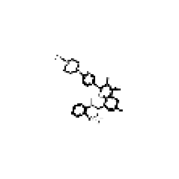 CC(=O)N1CCN(c2ccc(-c3oc4c([C@@H](C)Nc5ccccc5C(=O)O)cc(C)cc4c(=O)c3C)cn2)CC1